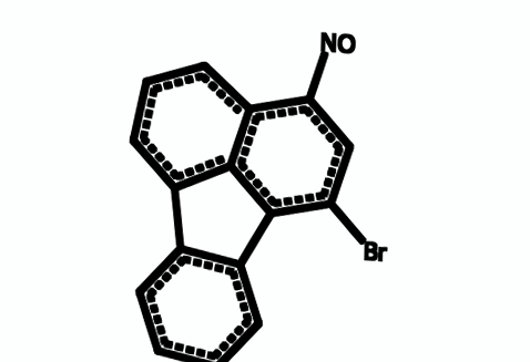 O=Nc1cc(Br)c2c3c(cccc13)-c1ccccc1-2